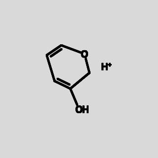 OC1=CC=COC1.[H+]